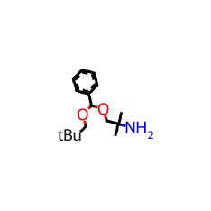 CC(C)(C)COC(OCC(C)(C)N)c1ccccc1